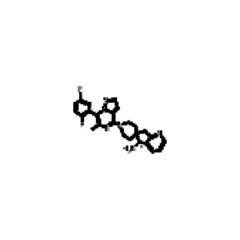 Cc1nc(N2CCC3(CC2)Cc2ncccc2[C@H]3N)c2ccnn2c1-c1cc(F)ccc1F